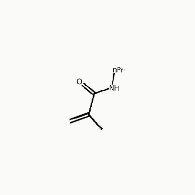 C=C(C)C(=O)N[CH]CC